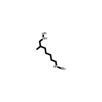 CCCNCC(C)CCCCCNC(C)CC